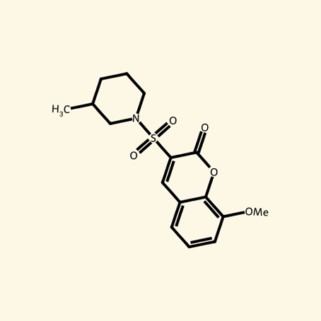 COc1cccc2cc(S(=O)(=O)N3CCCC(C)C3)c(=O)oc12